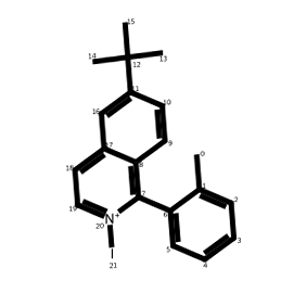 Cc1ccccc1-c1c2ccc(C(C)(C)C)cc2cc[n+]1I